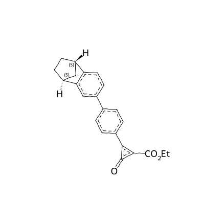 CCOC(=O)c1c(-c2ccc(-c3ccc4c(c3)[C@H]3CC[C@H]4C3)cc2)c1=O